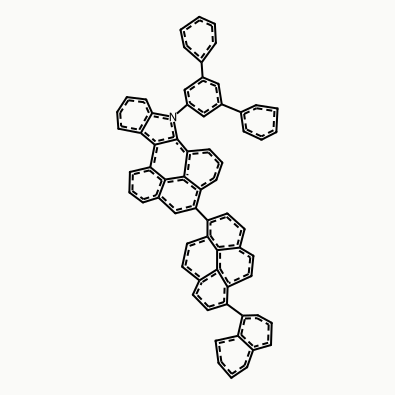 c1ccc(-c2cc(-c3ccccc3)cc(-n3c4ccccc4c4c5cccc6cc(-c7ccc8ccc9c(-c%10cccc%11ccccc%10%11)ccc%10ccc7c8c%109)c7cccc(c7c65)c43)c2)cc1